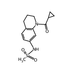 CS(=O)(=O)Nc1ccc2c(c1)N(C(=O)C1CC1)CCC2